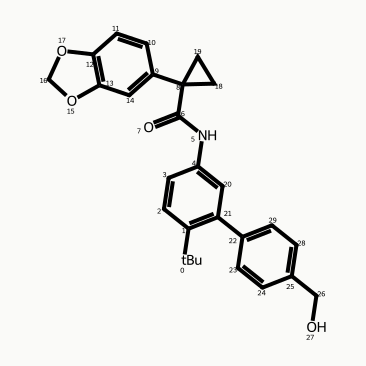 CC(C)(C)c1ccc(NC(=O)C2(c3ccc4c(c3)OCO4)CC2)cc1-c1ccc(CO)cc1